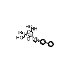 CC(C)(C)[C@@H](CO)NC(=O)[C@H](CC(=O)NO)N1C=CN(c2ccc(-c3ccccc3)cc2)C1